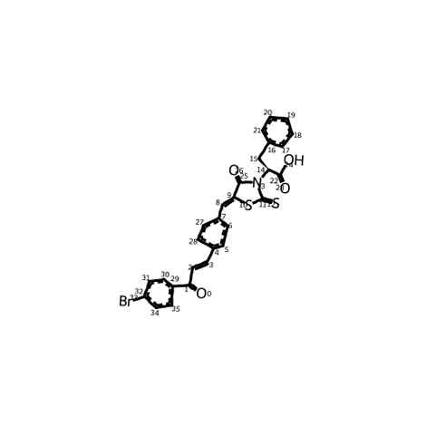 O=C(/C=C/c1ccc(/C=C2\SC(=S)N([C@@H](Cc3ccccc3)C(=O)O)C2=O)cc1)c1ccc(Br)cc1